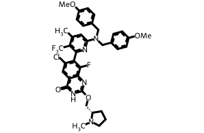 COc1ccc(CN(Cc2ccc(OC)cc2)c2cc(C)c(C(F)(F)F)c(-c3c(Cl)cc4c(=O)[nH]c(OC[C@@H]5CCCN5C)nc4c3F)n2)cc1